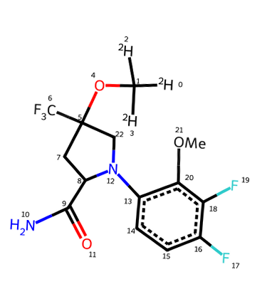 [2H]C([2H])([2H])OC1(C(F)(F)F)CC(C(N)=O)N(c2ccc(F)c(F)c2OC)C1